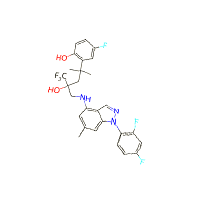 Cc1cc(NCC(O)(CC(C)(C)c2cc(F)ccc2O)C(F)(F)F)c2cnn(-c3ccc(F)cc3F)c2c1